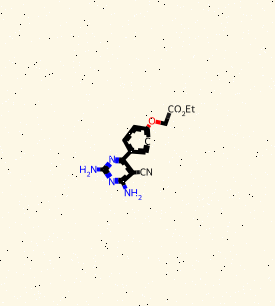 CCOC(=O)COc1ccc(-c2nc(N)nc(N)c2C#N)cc1